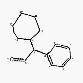 O=CC(c1ccccc1)C1CCCCC1